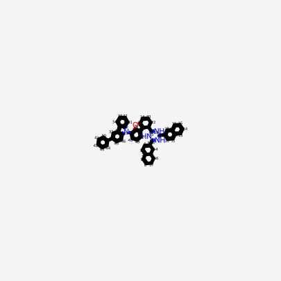 C1=CC2=CC=C(C3NC(c4ccc5ccccc5c4)NC(C4CC=Cc5oc6c(-n7c8ccccc8c8cc(-c9ccccc9)ccc87)cccc6c54)N3)CC2CC1